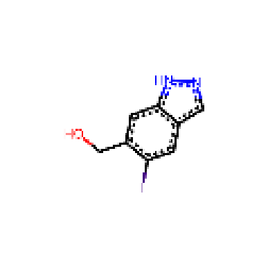 OCc1cc2[nH]ncc2cc1I